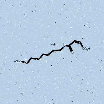 CCCCCCCCCCCCCCCCNC(=O)/C=C\C(=O)O.[NaH]